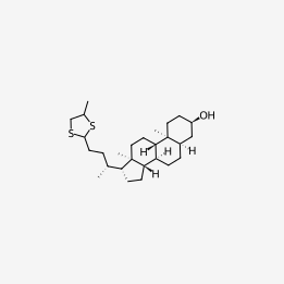 CC1CSC(CC[C@@H](C)[C@H]2CC[C@H]3[C@@H]4CC[C@@H]5C[C@H](O)CC[C@]5(C)[C@H]4CC[C@]23C)S1